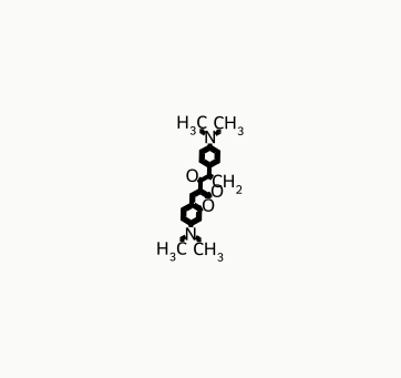 C=C(C(=O)c1cc2ccc(N(CC)CC)cc2oc1=O)c1ccc(N(CC)CC)cc1